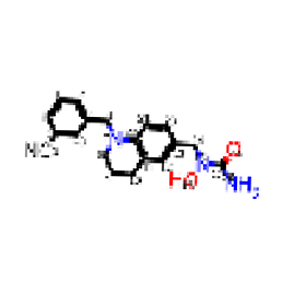 N#Cc1cccc(CN2CCCc3cc(CN(O)C(N)=O)ccc32)c1